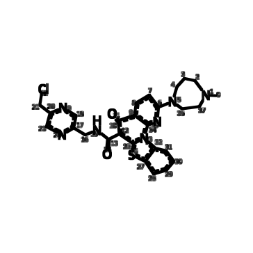 CN1CCCN(c2ccc3c(=O)c(C(=O)NCc4cnc(CCl)cn4)c4sc5ccccc5n4c3n2)CC1